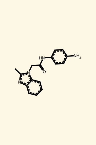 Cc1nc2ccccc2n1CC(=O)Nc1ccc(N)cc1